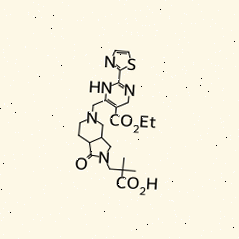 CCOC(=O)C1=C(CN2CCC3C(=O)N(CC(C)(C)C(=O)O)CC3C2)NC(c2nccs2)=NC1